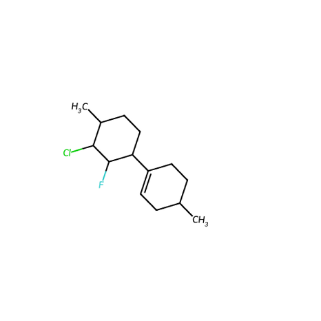 CC1CC=C(C2CCC(C)C(Cl)C2F)CC1